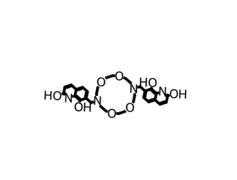 Oc1ccc2ccc(CN3CCOCCOCCN(Cc4ccc5ccc(O)nc5c4O)CCOCCOCC3)c(O)c2n1